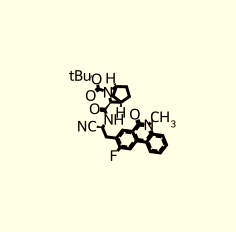 Cn1c(=O)c2cc(C[C@@H](C#N)NC(=O)[C@@H]3[C@H]4CC[C@H](C4)N3C(=O)OC(C)(C)C)c(F)cc2c2ccccc21